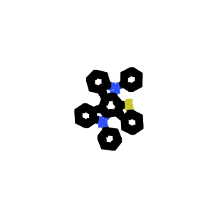 c1ccc(-n2c3ccccc3c3c4c5ccccc5n(-c5ccccc5)c4c4c5ccccc5sc4c32)cc1